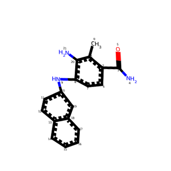 Cc1c(C(N)=O)ccc(Nc2ccc3ccccc3c2)c1N